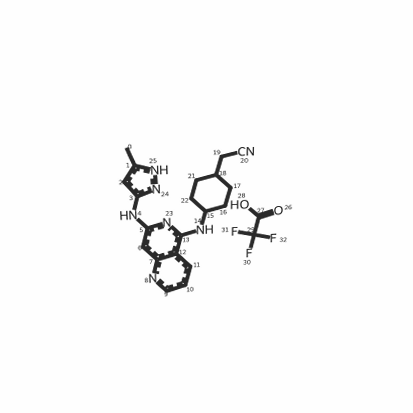 Cc1cc(Nc2cc3ncccc3c(NC3CCC(CC#N)CC3)n2)n[nH]1.O=C(O)C(F)(F)F